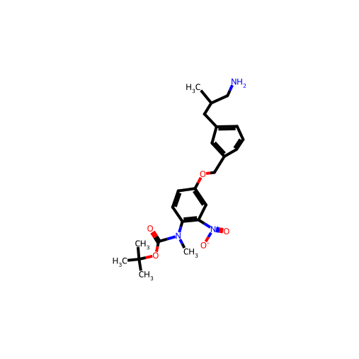 CC(CN)Cc1cccc(COc2ccc(N(C)C(=O)OC(C)(C)C)c([N+](=O)[O-])c2)c1